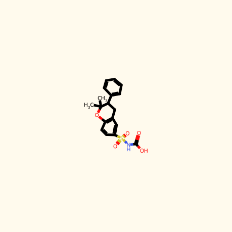 CC1(C)Oc2ccc(S(=O)(=O)NC(=O)O)cc2CC1c1ccccc1